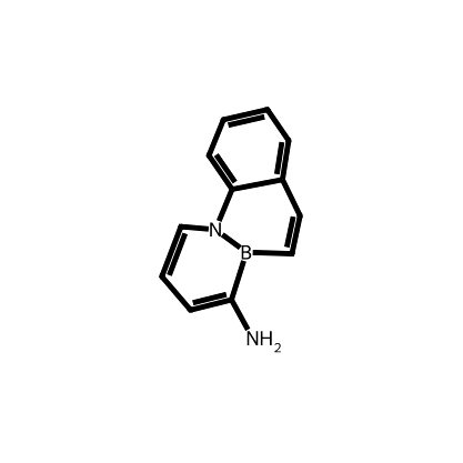 NC1=CC=CN2B1C=Cc1ccccc12